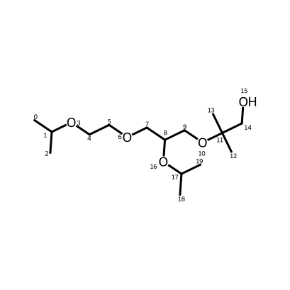 CC(C)OCCOCC(COC(C)(C)CO)OC(C)C